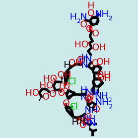 CN[C@@H](CC(C)C)C(=O)N[C@@H]1C(=O)N[C@H](CC(N)=O)C(=O)N[C@@H]2C(=O)N[C@H](C(N)=O)c3ccc(O)c(c3)-c3c(O)cc(O)cc3C(C(=O)NCCC(O)C(O)CCC(=O)Oc3ccc(N)c(O)c3C(N)=O)NC(=O)C[C@@H](O)c3ccc(c(Cl)c3)Oc3cc2cc(c3OC2O[C@H](CO)[C@H](O)[C@@H](O)[C@H]2O[C@H]2CC[C@@H](O)[C@H](C)O2)Oc2ccc(cc2Cl)[C@@H]1O